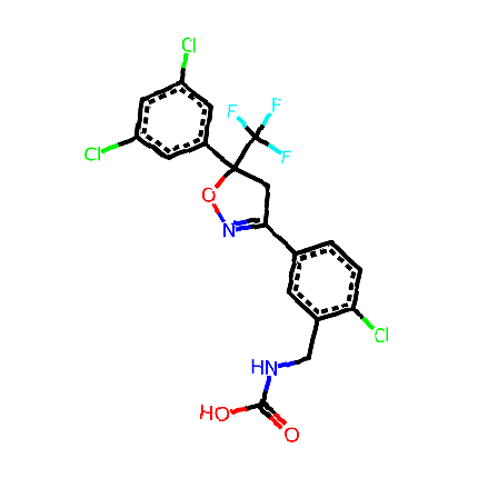 O=C(O)NCc1cc(C2=NOC(c3cc(Cl)cc(Cl)c3)(C(F)(F)F)C2)ccc1Cl